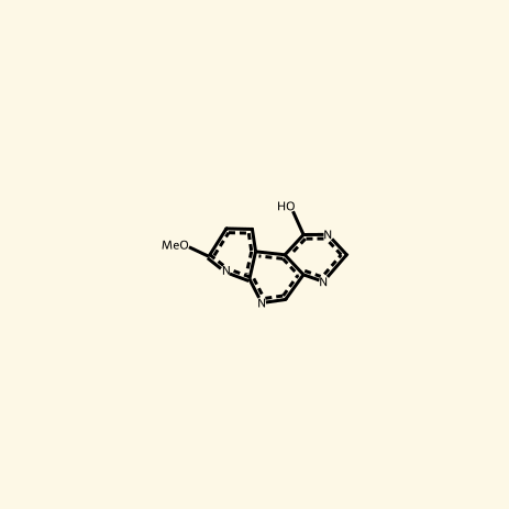 COc1ccc2c(ncc3ncnc(O)c32)n1